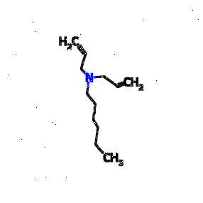 C=CCN(CC=C)CCCCCC